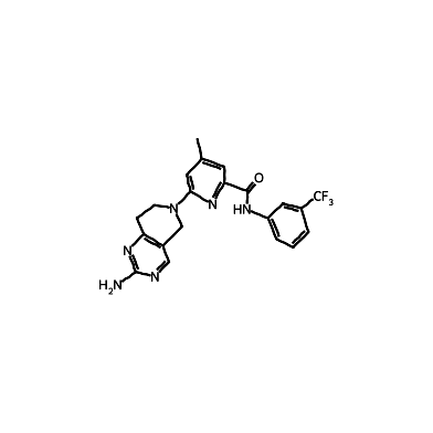 Cc1cc(C(=O)Nc2cccc(C(F)(F)F)c2)nc(N2CCc3nc(N)ncc3C2)c1